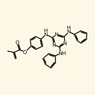 C=C(C)C(=O)Oc1ccc(Nc2nc(Nc3ccccc3)nc(Nc3ccccc3)n2)cc1